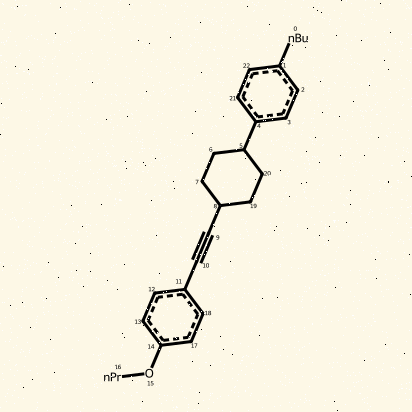 CCCCc1ccc(C2CCC(C#Cc3ccc(OCCC)cc3)CC2)cc1